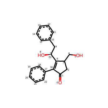 O=C1CC(CO)C([C@@H](O)Cc2ccccc2)=C1c1ccccc1